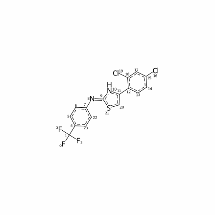 FC(F)(F)c1ccc(N=c2[nH]c(-c3ccc(Cl)cc3Cl)cs2)cc1